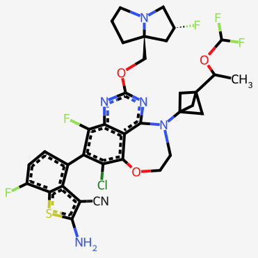 CC(OC(F)F)C12CC(N3CCOc4c(Cl)c(-c5ccc(F)c6sc(N)c(C#N)c56)c(F)c5nc(OC[C@@]67CCCN6C[C@H](F)C7)nc3c45)(C1)C2